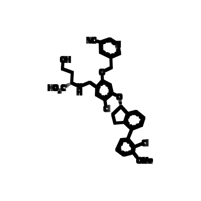 COc1cccc(-c2cccc3c2CC[C@@H]3Oc2cc(OCc3cncc(C#N)c3)c(CN[C@@H](CCO)C(=O)O)cc2Cl)c1Cl